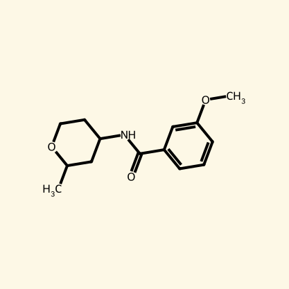 COc1cccc(C(=O)NC2CCOC(C)C2)c1